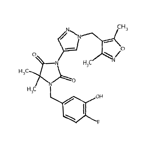 Cc1noc(C)c1Cn1cc(N2C(=O)N(Cc3ccc(F)c(O)c3)C(C)(C)C2=O)cn1